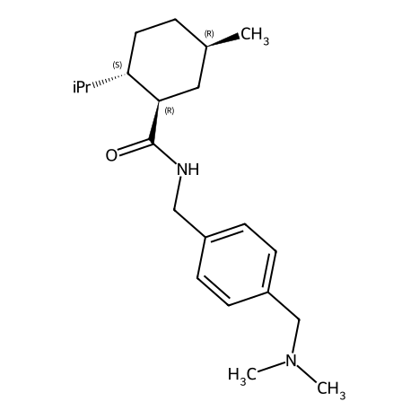 CC(C)[C@@H]1CC[C@@H](C)C[C@H]1C(=O)NCc1ccc(CN(C)C)cc1